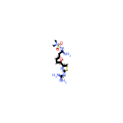 CN(C)S(=O)(=O)/N=C(/N)Cc1ccc(-c2csc(N=C(N)N)n2)o1